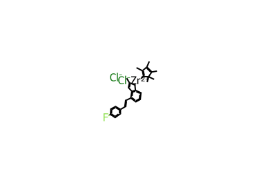 CC1=Cc2c(C=Cc3ccc(F)cc3)cccc2[CH]1[Zr+2][C]1=C(C)C(C)=C(C)C1(C)C.[Cl-].[Cl-]